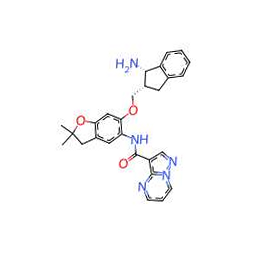 CC1(C)Cc2cc(NC(=O)c3cnn4cccnc34)c(OC[C@H]3Cc4ccccc4[C@H]3N)cc2O1